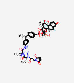 C[C@@H](c1ccc(NC(=O)[C@H](C)NC(=O)[C@H](C)NC(=O)CCN2C(=O)C=CC2=O)cc1)c1ccc([C@@H]2O[C@@H]3CC4[C@@H]5C[C@H](F)C6=CC(=O)C=C[C@]6(C)[C@@]5(F)[C@@H](O)C[C@]4(C)[C@]3(C(=O)CO)O2)cc1